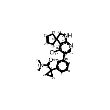 CN(C)C(=O)C1(c2cccc(-c3cnc4c(c3Cl)C3(CC=CC3)CN4)c2)CC1